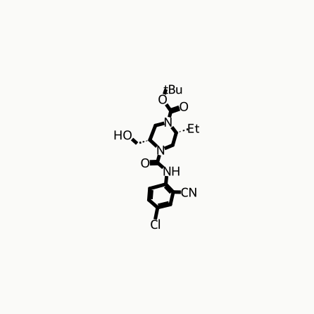 CC[C@@H]1CN(C(=O)Nc2ccc(Cl)cc2C#N)[C@H](CO)CN1C(=O)OC(C)(C)C